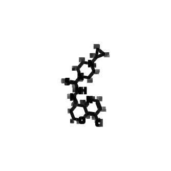 S=C(N/N=C1/CCOc2c(Cl)ccnc21)N1CCN(C2CC2)CC1